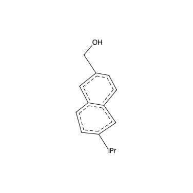 CC(C)c1ccc2cc(CO)ccc2c1